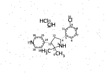 CC1(C)N[C@@H](c2cccc(Cl)c2)C[C@H]1c1ccncc1.Cl.Cl